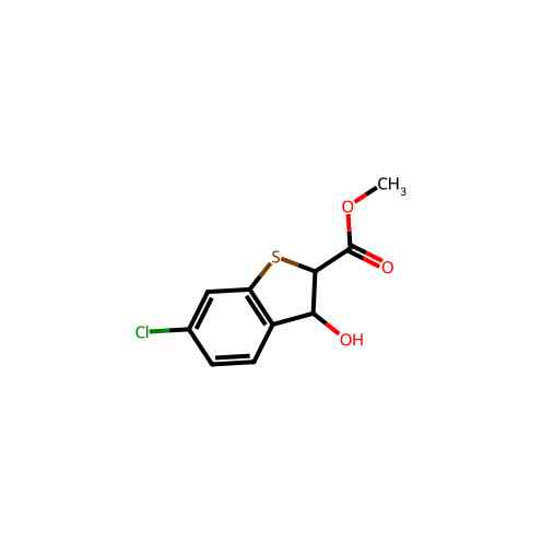 COC(=O)C1Sc2cc(Cl)ccc2C1O